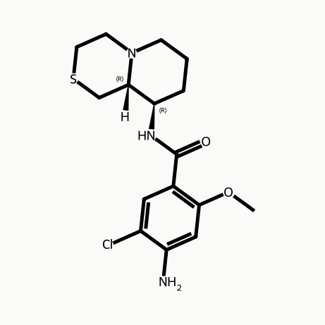 COc1cc(N)c(Cl)cc1C(=O)N[C@@H]1CCCN2CCSC[C@@H]12